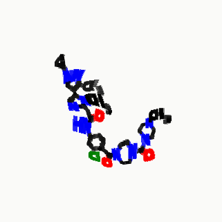 CN1CCN(C(=O)N2CCN(C(=O)c3ccc(NC(=O)c4ncc(-c5cn(C6CC6)nc5C(F)(F)F)n4C)cc3Cl)CC2)CC1